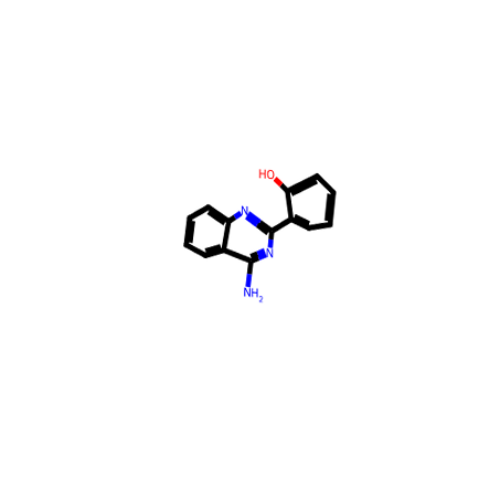 Nc1nc(-c2ccccc2O)nc2ccccc12